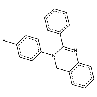 Fc1ccc(N2Cc3ccccc3N=C2c2ccccc2)cc1